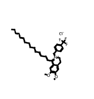 CCCCCCCCCCCCCCCC1=[N+](Cc2ccc(C(F)(F)F)cc2)CCc2cc(OC)c(OC)cc21.[Cl-]